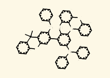 CC1(C)c2ccccc2Sc2cc(-c3cc(N(c4ccccc4)c4ccccc4)cc4c3Bc3cccc5c3N4c3ccccc3S5)c(Nc3ccccc3)cc21